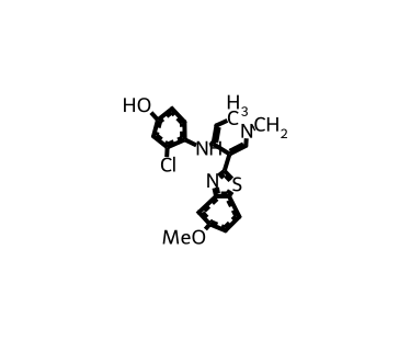 C=N/C=C(\C(=C/C)Nc1ccc(O)cc1Cl)c1nc2cc(OC)ccc2s1